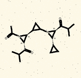 CC(=O)N1[C@@H](C(=O)C(C)C)[C@@H]1C1CC1N1[C@@H](C(=O)C(C)C)[C@@H]1C1CC1